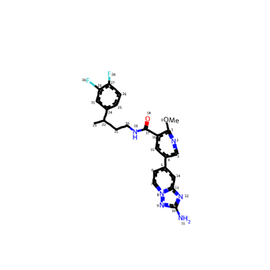 COc1ncc(-c2ccn3nc(N)nc3c2)cc1C(=O)NCCC(C)c1ccc(F)c(F)c1